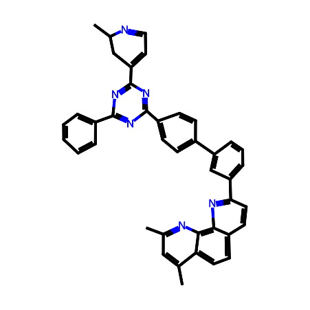 Cc1cc(C)c2ccc3ccc(-c4cccc(-c5ccc(-c6nc(C7=CC=NC(C)C7)nc(-c7ccccc7)n6)cc5)c4)nc3c2n1